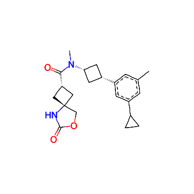 Cc1cc(C2CC2)cc([C@H]2C[C@@H](N(C)C(=O)[C@H]3C[C@]4(COC(=O)N4)C3)C2)c1